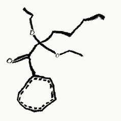 CCCCC(OCC)(OCC)C(=O)c1ccccc1